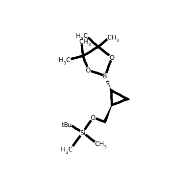 CC1(C)OB([C@@H]2C[C@H]2CO[Si](C)(C)C(C)(C)C)OC1(C)C